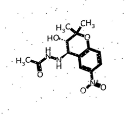 CC(=O)NN[C@@H]1c2cc([N+](=O)[O-])ccc2OC(C)(C)[C@H]1O